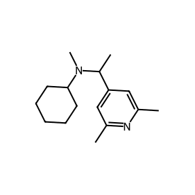 Cc1cc(C(C)N(C)C2CCCCC2)cc(C)n1